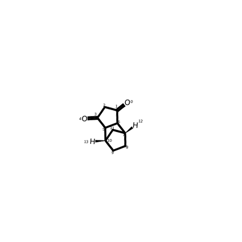 O=C1CC(=O)C2C1[C@@H]1CC[C@H]2C1